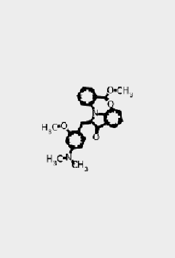 COC(=O)c1ccccc1N1C(=Cc2ccc(N(C)C)cc2OC)C(=O)c2ccccc21